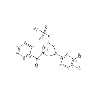 CN(CC(CCOS(C)(=O)=O)c1ccc(Cl)c(Cl)c1)C(=O)c1ccccc1